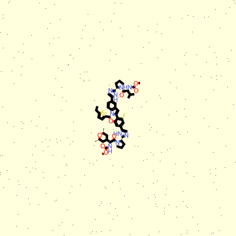 CCc1ccc(C2Oc3cc(-c4cnc([C@@H]5CCCN5C(=O)C(NC(=O)OC)C5C[C@@H](C)O[C@@H](C)C5)[nH]4)cc(F)c3-c3cc4cc(-c5cnc([C@@H]6CCCN6C(=O)[C@@H](NC(=O)OC)C(C)C)[nH]5)ccc4n32)s1